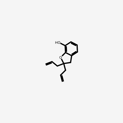 C=CCC1(CC=C)Cc2cccc(O)c2O1